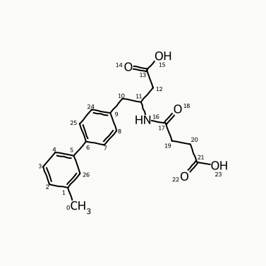 Cc1cccc(-c2ccc(CC(CC(=O)O)NC(=O)CCC(=O)O)cc2)c1